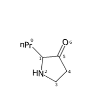 [CH2]CCC1NCCC1=O